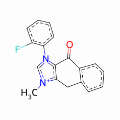 C[n+]1cn(-c2ccccc2F)c2c1Cc1ccccc1C2=O